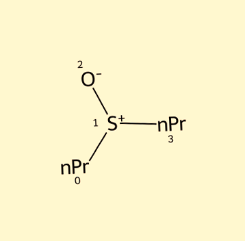 [CH2]CC[S+]([O-])CCC